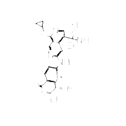 CC[C@](C)(N)c1cnc(OC2CC2)c2cnc(Nc3ccc4c(n3)[C@@H](C)[C@@H](C)OC4=O)cc12